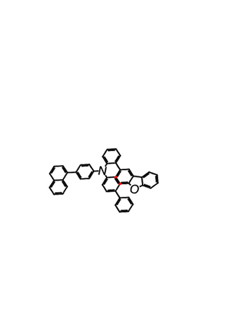 c1ccc(-c2ccc(N(c3ccc(-c4cccc5ccccc45)cc3)c3ccccc3-c3ccc4oc5ccccc5c4c3)cc2)cc1